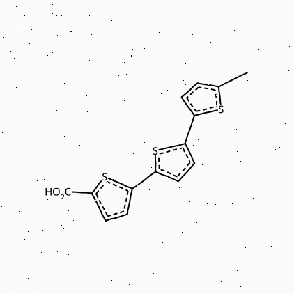 Cc1ccc(-c2ccc(-c3ccc(C(=O)O)s3)s2)s1